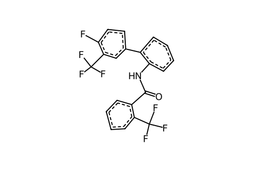 O=C(Nc1ccccc1-c1ccc(F)c(C(F)(F)F)c1)c1ccccc1C(F)(F)F